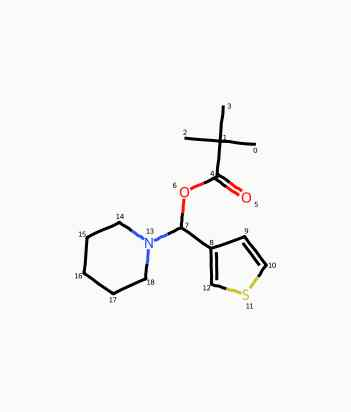 CC(C)(C)C(=O)OC(c1ccsc1)N1CCCCC1